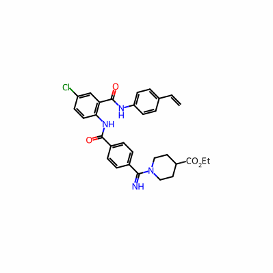 C=Cc1ccc(NC(=O)c2cc(Cl)ccc2NC(=O)c2ccc(C(=N)N3CCC(C(=O)OCC)CC3)cc2)cc1